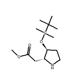 COC(=O)C[C@H]1NCC[C@@H]1O[Si](C)(C)C(C)(C)C